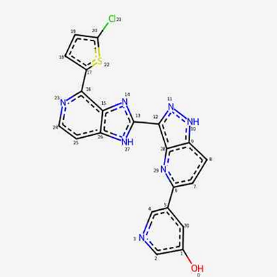 Oc1cncc(-c2ccc3[nH]nc(-c4nc5c(-c6ccc(Cl)s6)nccc5[nH]4)c3n2)c1